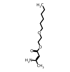 CCCCCCOCCOC(=O)C=C(C)N